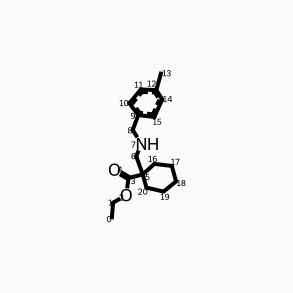 CCOC(=O)C1(CNCc2ccc(C)cc2)CCCCC1